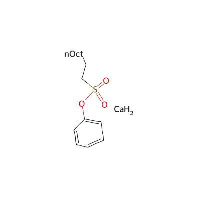 CCCCCCCCCCS(=O)(=O)Oc1ccccc1.[CaH2]